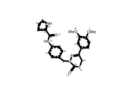 COc1ccc(C2=NN(Cc3ccc(NC(=O)c4ccc[nH]4)cc3)C(=O)SC2)cc1OC